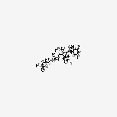 CCC1(CCNC(=O)/C=C/C2C(C=N)C(c3cnc4c(F)cc(F)cn34)=NN2CC(F)(F)F)CNC(=O)C1